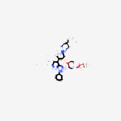 CCc1c(C(=O)O)nc2c(c(OC3CCN(C(=O)OC(C)(C)C)CC3)nn2-c2ccccc2)c1-c1ccc(N2CCC(C#N)CC2)nc1